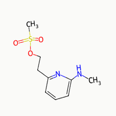 CNc1cccc(CCOS(C)(=O)=O)n1